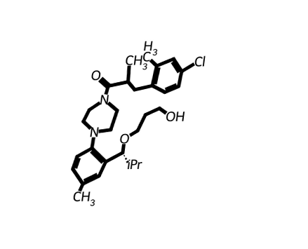 Cc1ccc(N2CCN(C(=O)C(C)Cc3ccc(Cl)cc3C)CC2)c([C@H](OCCCO)C(C)C)c1